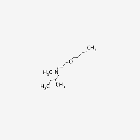 CCCCCOCCCN(C)CC(C)CC